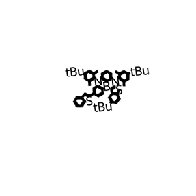 Cc1cc(C(C)(C)C)cc(C)c1N1c2cc(-c3cc4ccccc4s3)ccc2B2c3c1cccc3N(c1c(C)cc(C(C)(C)C)cc1C)c1sc3ccc(C(C)(C)C)cc3c12